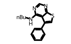 CCCCNc1ncnc2scc(-c3ccccc3)c12